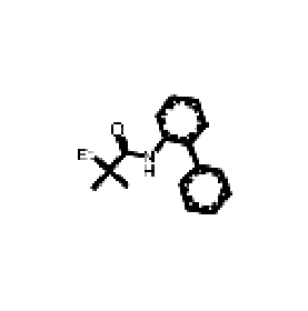 CCC(C)(C)C(=O)Nc1ccccc1-c1ccccc1